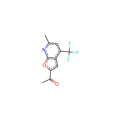 CC(=O)c1cc2c(C(F)(F)F)cc(C)nc2o1